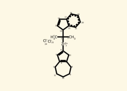 C[C](C)([Zr+2][C]1=CC2=C(CCCCC2)C1)C1C=Cc2ccccc21.[Cl-].[Cl-]